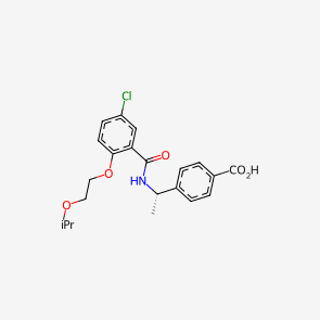 CC(C)OCCOc1ccc(Cl)cc1C(=O)N[C@@H](C)c1ccc(C(=O)O)cc1